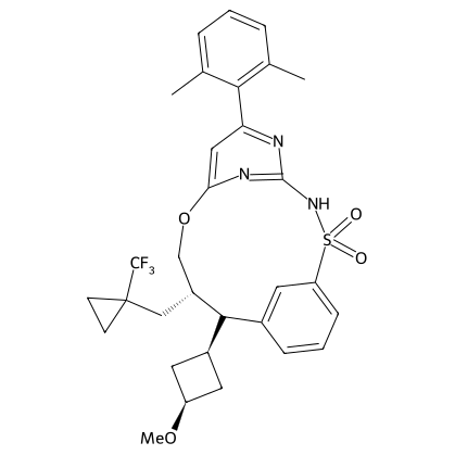 CO[C@H]1C[C@@H](C2c3cccc(c3)S(=O)(=O)Nc3nc(cc(-c4c(C)cccc4C)n3)OC[C@H]2CC2(C(F)(F)F)CC2)C1